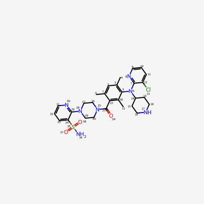 Cc1cc(C)c(N(c2ncccc2Cl)C2CCNCC2)c(C)c1C(=O)N1CCN(c2ncccc2S(N)(=O)=O)CC1